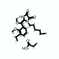 CCC(=O)O.CCCCCCN1C(=O)C(=O)NC1=C(OC)c1cccc(CC)c1OC